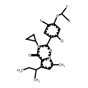 CCC(C)c1cc(C)n2nc(-c3cc(F)c(OC(F)F)cc3Cl)n(C3CC3)c(=O)c12